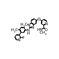 CNC(=O)c1cc(Oc2ccc3c(c2)nc(Nc2ccc(C)c(-c4cccnc4F)c2)n3C)ccn1